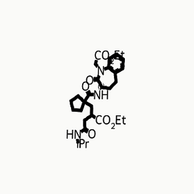 CCOC(=O)CN1C(=O)[C@@H](NC(=O)C2(CC(CC(=O)NC(C)C)C(=O)OCC)CCCC2)CCc2ccccc21